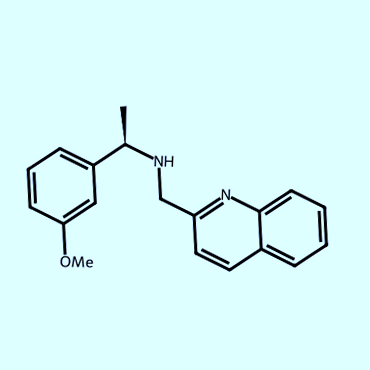 COc1cccc([C@@H](C)NCc2ccc3ccccc3n2)c1